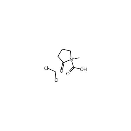 C[N+]1(C(=O)O)CCCC1=O.ClCCl